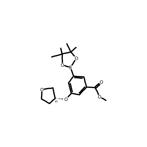 COC(=O)c1cc(O[C@@H]2CCOC2)cc(B2OC(C)(C)C(C)(C)O2)c1